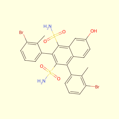 Cc1c(Br)cccc1-c1c(S(N)(=O)=O)c(-c2cccc(Br)c2C)c2ccc(O)cc2c1S(N)(=O)=O